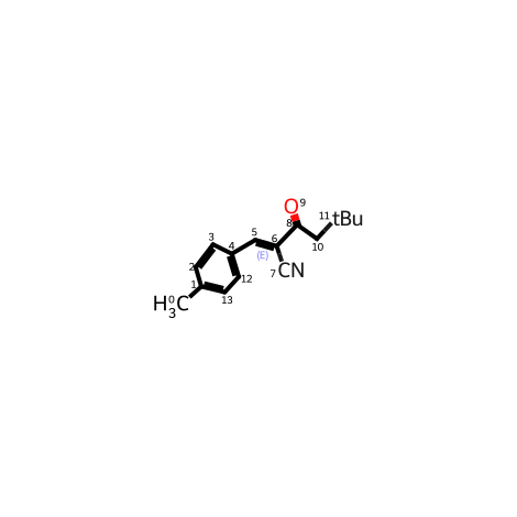 Cc1ccc(/C=C(\C#N)C(=O)CC(C)(C)C)cc1